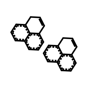 C1=Cc2cccc3cccc(c23)C1.C1=Cc2cccc3cccc(c23)C1